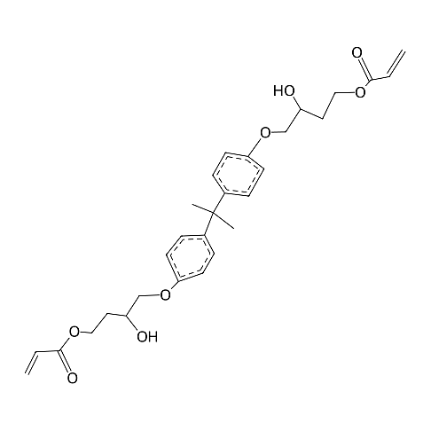 C=CC(=O)OCCC(O)COc1ccc(C(C)(C)c2ccc(OCC(O)CCOC(=O)C=C)cc2)cc1